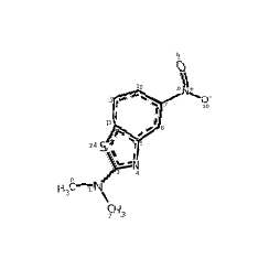 CN(C)c1nc2cc([N+](=O)[O-])ccc2s1